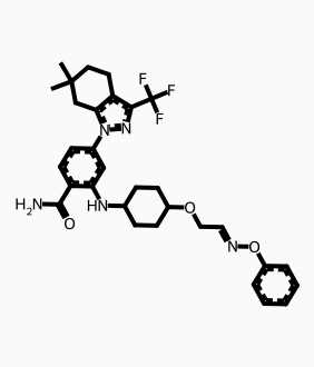 CC1(C)CCc2c(C(F)(F)F)nn(-c3ccc(C(N)=O)c(NC4CCC(OCC=NOc5ccccc5)CC4)c3)c2C1